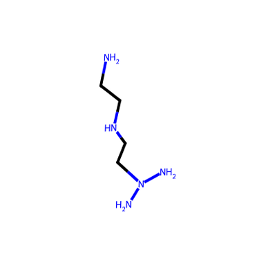 NCCNCCN(N)N